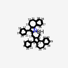 B1CC2=C3C(=C(c4ccccc4)C2=Cc2c(-c4ccccc4)c4c(n21)-c1ccccc1CCC4)CCCc1ccccc13